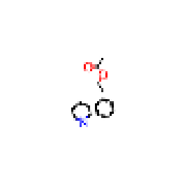 CCOC(C)=O.c1ccccc1.c1ccncc1